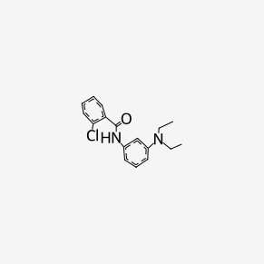 CCN(CC)c1cccc(NC(=O)c2ccccc2Cl)c1